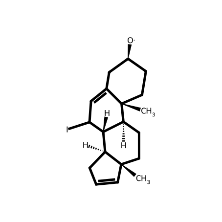 C[C@@]12C=CC[C@H]1[C@@H]1C(I)C=C3C[C@@H]([O])CC[C@]3(C)[C@H]1CC2